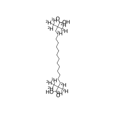 [2H]C([2H])([2H])C(CCCCCCCCCCCCCCC(C(=O)O)(C([2H])([2H])[2H])C([2H])([2H])[2H])(C(=O)O)C([2H])([2H])[2H]